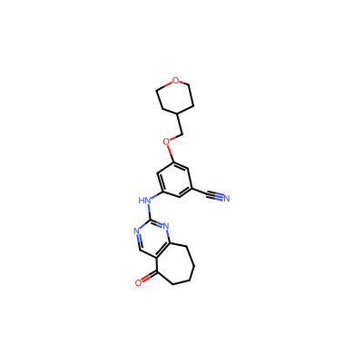 N#Cc1cc(Nc2ncc3c(n2)CCCCC3=O)cc(OCC2CCOCC2)c1